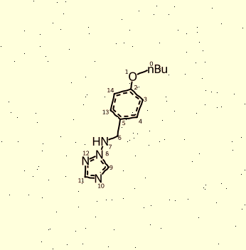 CCCCOc1ccc(CNn2cncn2)cc1